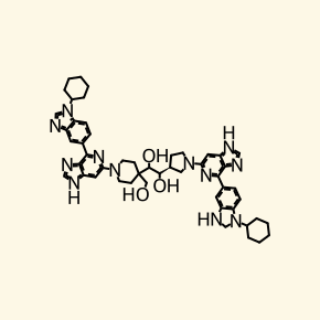 OCC1(C(O)C(O)[C@H]2CCN(c3cc4[nH]cnc4c(-c4ccc5c(c4)NCN5C4CCCCC4)n3)C2)CCN(c2cc3[nH]cnc3c(-c3ccc4c(c3)ncn4C3CCCCC3)n2)CC1